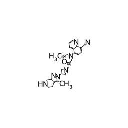 Cc1c2c(nn1C1CN(C[C@H]3CN(c4ccc(C#N)c5ncccc45)C[C@@H](C)O3)C1)CNCC2